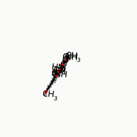 CCCCCCCCCCCCCCCC(=O)N[C@@H](CCC(=O)NCCOCCOCC(=O)NC)C(=O)O